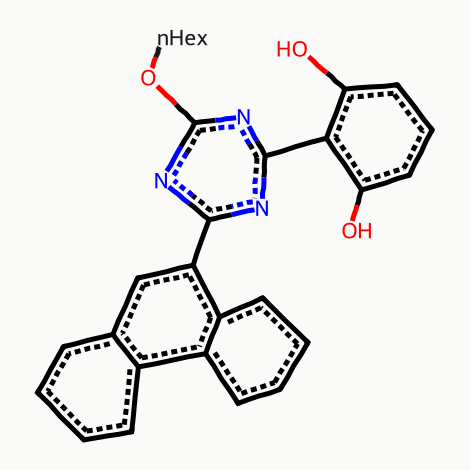 CCCCCCOc1nc(-c2c(O)cccc2O)nc(-c2cc3ccccc3c3ccccc23)n1